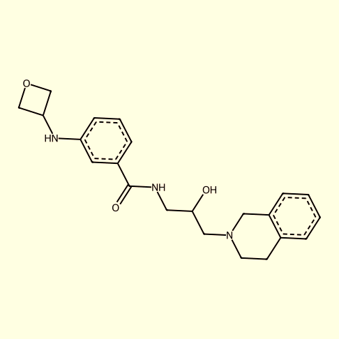 O=C(NCC(O)CN1CCc2ccccc2C1)c1cccc(NC2COC2)c1